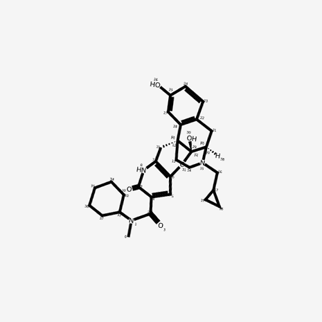 CN(C(=O)c1cc2c([nH]c1=O)C[C@]13CCN(CC4CC4)[C@H](Cc4ccc(O)cc41)[C@]3(O)C2)C1CCCCC1